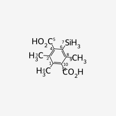 Cc1c(C)c(C(=O)O)c([SiH3])c(C)c1C(=O)O